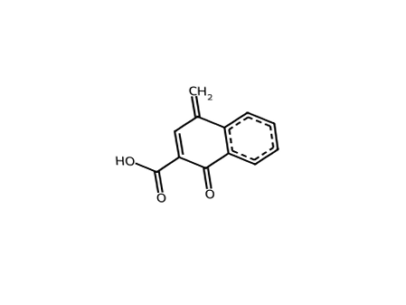 C=C1C=C(C(=O)O)C(=O)c2ccccc21